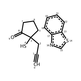 C#CCC1(S)CCCC1=O.c1ccc2scnc2c1